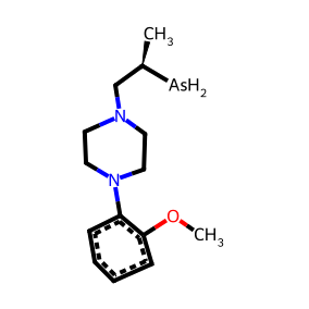 COc1ccccc1N1CCN(C[C@@H](C)[AsH2])CC1